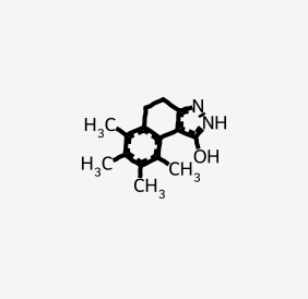 Cc1c(C)c(C)c2c(c1C)CCc1n[nH]c(O)c1-2